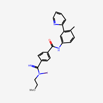 COCCN(I)C(=N)c1ccc(C(=O)Nc2ccc(C)c(-c3ccccn3)c2)cc1